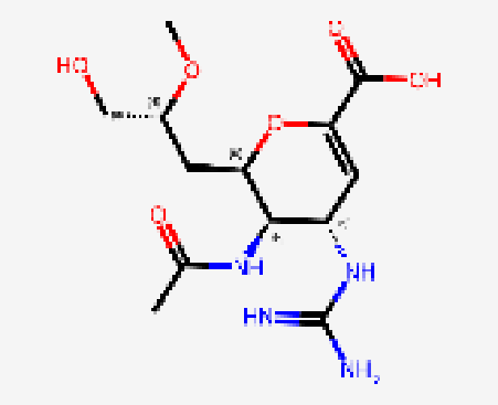 CO[C@@H](CO)C[C@H]1OC(C(=O)O)=C[C@H](NC(=N)N)[C@H]1NC(C)=O